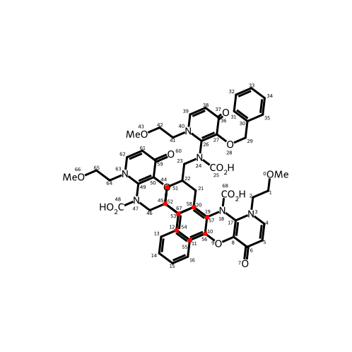 COCCn1ccc(=O)c(OCc2ccccc2)c1N(CC1CC(CN(C(=O)O)c2c(OCc3ccccc3)c(=O)ccn2CCOC)CC(CN(C(=O)O)c2c(OCc3ccccc3)c(=O)ccn2CCOC)C1)C(=O)O